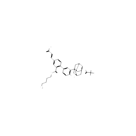 NCCCCNC(=O)c1cc(C=CC(=O)O)ccc1-c1ccc(O)c(C23CC4CC(CC(C4)C2)C3)c1.O=C(O)C(F)(F)F